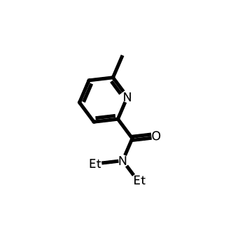 CCN(CC)C(=O)c1cccc(C)n1